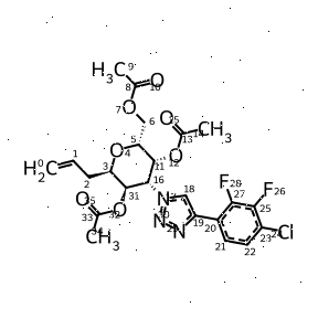 C=CC[C@H]1O[C@H](COC(C)=O)[C@H](OC(C)=O)[C@H](n2cc(-c3ccc(Cl)c(F)c3F)nn2)[C@H]1OC(C)=O